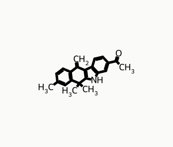 C=C1c2ccc(C)cc2C(C)(C)c2[nH]c3cc(C(C)=O)ccc3c21